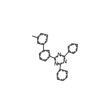 Cc1cccc(-c2cccc(-c3nc(-c4ccccc4)nc(-c4ccccc4)n3)c2)c1